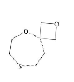 C1CSCCC2(COC2)O1